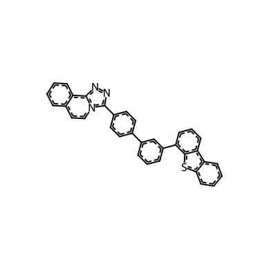 c1cc(-c2ccc(-c3nnc4c5ccccc5ccn34)cc2)cc(-c2cccc3c2sc2ccccc23)c1